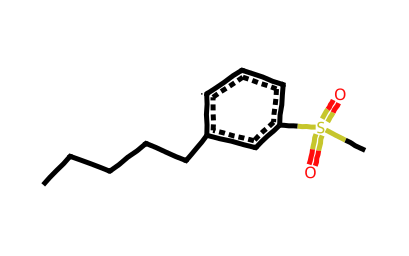 CCCCCc1[c]ccc(S(C)(=O)=O)c1